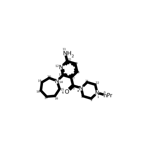 CCCN1CCN(C(=O)c2ccc(N)nc2N2CCCCCC2)CC1